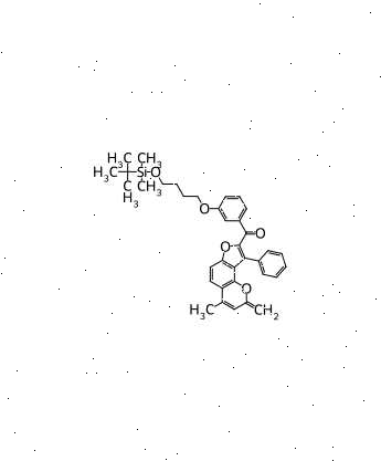 C=C1C=C(C)c2ccc3oc(C(=O)c4cccc(OCCCCO[Si](C)(C)C(C)(C)C)c4)c(-c4ccccc4)c3c2O1